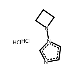 Cl.Cl.c1cn(N2CCC2)cn1